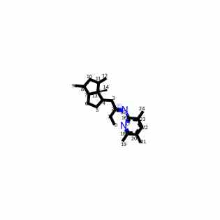 CC/C(CC1CCC2C(C)CC(C)[C@]12C)=N\c1nc(C)c(C)cc1C